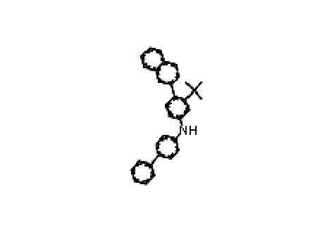 CC(C)(C)c1cc(Nc2ccc(-c3ccccc3)cc2)ccc1-c1ccc2ccccc2c1